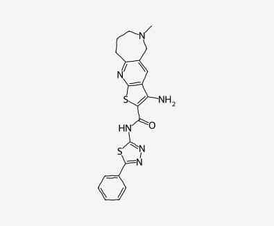 CN1CCCc2nc3sc(C(=O)Nc4nnc(-c5ccccc5)s4)c(N)c3cc2C1